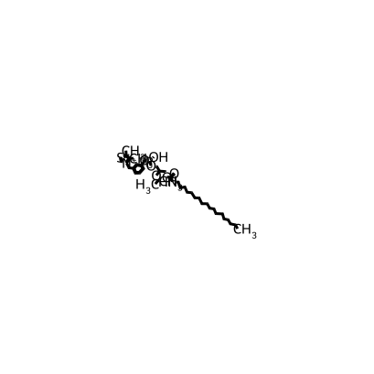 CCCCCCCCCCCCCCCCCCNC(=O)OCC(COP(O)Oc1cccc(C[n+]2csc(C)c2C)c1)OC(C)C